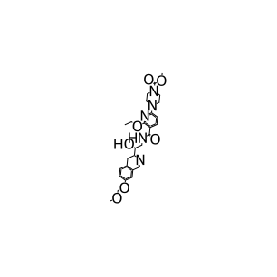 CCOc1nc(N2CCN(C(=O)OC)CC2)ccc1C(=O)NC[C@@H](O)C1Cc2ccc(OCOC)cc2C=N1